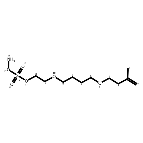 C=C(C)CCOCCCCOCCOS(=O)(=O)ON